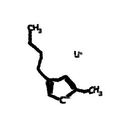 CCCCc1c[cH-]c(C)c1.[Li+]